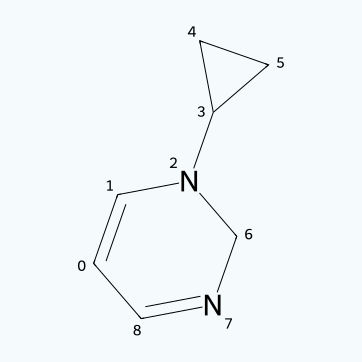 C1=CN(C2CC2)CN=C1